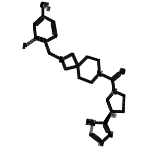 O=C(N1CCC2(CC1)CN(Cc1ccc(C(F)(F)F)cc1F)C2)N1CC[C@@H](c2nnc[nH]2)C1